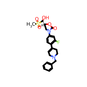 CS(=O)(=O)C(O)[C@H]1CN(c2ccc(C3=CCN(Cc4ccccc4)CC3)c(F)c2)C(=O)O1